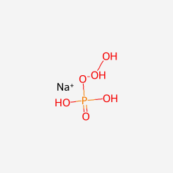 O=P([O-])(O)O.OO.[Na+]